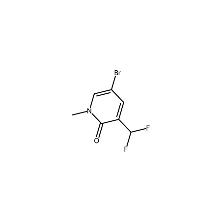 Cn1cc(Br)cc(C(F)F)c1=O